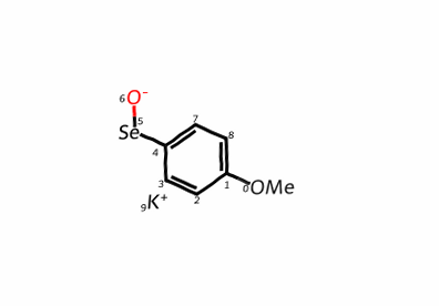 COc1ccc([Se][O-])cc1.[K+]